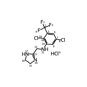 Cl.FC(F)(F)c1cc(Cl)cc(NCC2=NCCN2)c1Cl